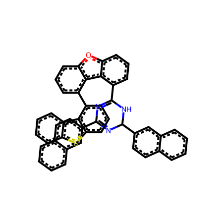 c1ccc2cc(C3=NC(c4ccc5ccccc5c4)NC(c4cccc5oc6cccc(-c7cccc8sc9ccccc9c78)c6c45)=N3)ccc2c1